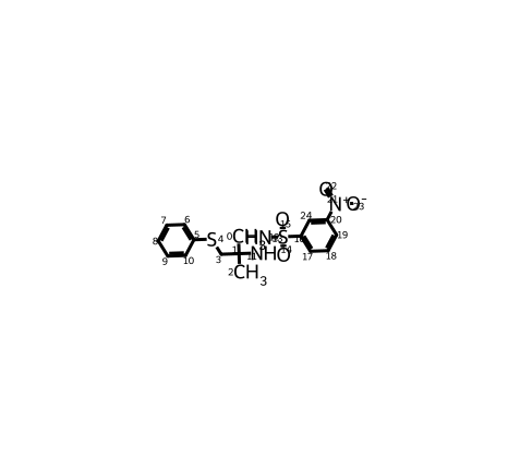 CC(C)(CSc1ccccc1)NNS(=O)(=O)c1cccc([N+](=O)[O-])c1